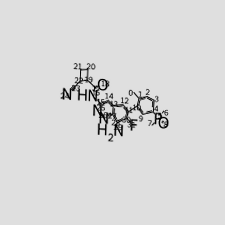 Cc1ccc(P(C)(C)=O)cc1-c1cc2cc(NC(=O)C3CCC3C#N)nnc2c(N)c1F